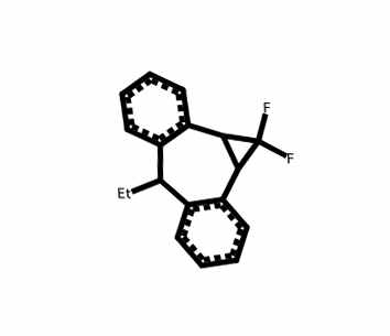 CCC1c2ccccc2C2C(c3ccccc31)C2(F)F